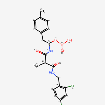 Cc1ccc(C[C@H](NC(=O)C(C)C(=O)NCc2ccc(Cl)cc2Cl)OB(O)O)cc1